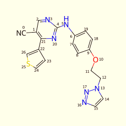 N#Cc1cnc(Nc2ccc(OCCn3ccnn3)cc2)nc1-c1ccsc1